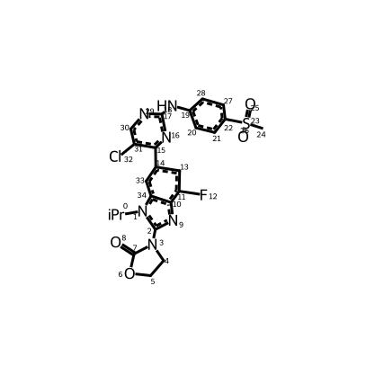 CC(C)n1c(N2CCOC2=O)nc2c(F)cc(-c3nc(Nc4ccc(S(C)(=O)=O)cc4)ncc3Cl)cc21